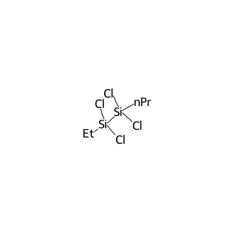 CCC[Si](Cl)(Cl)[Si](Cl)(Cl)CC